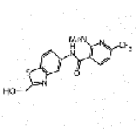 CNc1nc(C(F)(F)F)ccc1C(=O)Nc1ccc2sc(CO)nc2c1